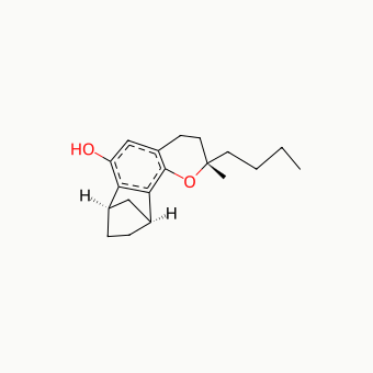 CCCC[C@@]1(C)CCc2cc(O)c3c(c2O1)[C@H]1CC[C@@H]3C1